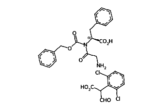 NCC(=O)N(C(=O)OCc1ccccc1)[C@@H](Cc1ccccc1)C(=O)O.O=CC(C(=O)O)c1c(Cl)cccc1Cl